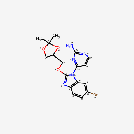 CC1(C)OCC(COc2nc3ccc(Br)cc3n2-c2ccnc(N)n2)O1